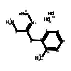 CCCCCCN=C(CN)Cc1ccccc1C.Cl.Cl